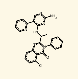 CC(Nc1nc(N)ncc1-c1ccccn1)c1nc2cccc(Cl)c2c(=O)n1-c1ccccc1